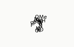 COc1cc(NS(=O)(=O)N2CCN(Cc3c(C)n(C)c(=O)n(C)c3=O)CC2)nc(SCc2cccc(F)c2F)n1